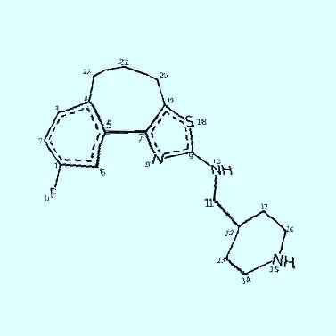 Fc1ccc2c(c1)-c1nc(NCC3CCNCC3)sc1CCC2